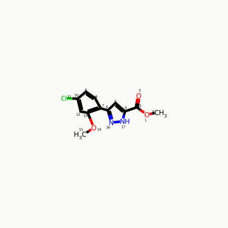 COC(=O)c1cc(-c2ccc(Cl)cc2OC)n[nH]1